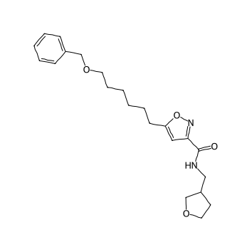 O=C(NCC1CCOC1)c1cc(CCCCCCOCc2ccccc2)on1